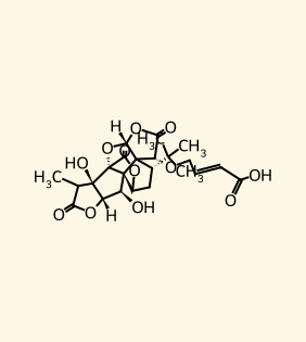 CC1C(=O)O[C@H]2[C@H](O)[C@@]34C5C[C@@H](C(C)(C)C)C36[C@@H](OC(=O)[C@@H]6OC/C=C/C(=O)O)O[C@@]4(C(=O)O5)[C@@]12O